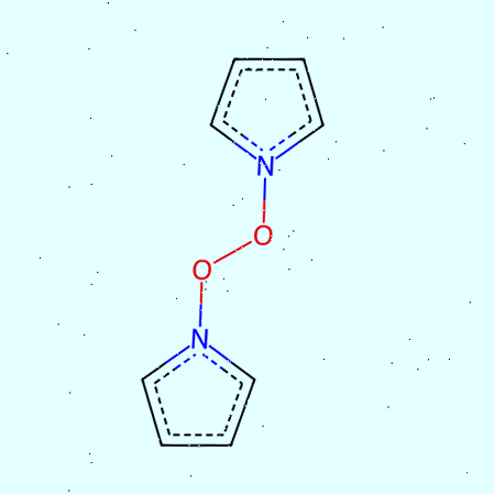 c1ccn(OOn2cccc2)c1